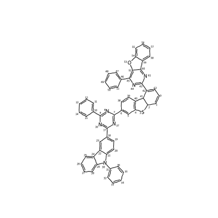 C1=CC2Sc3cc(-c4nc(-c5ccccc5)nc(-c5ccc6c(c5)c5ccccc5n6-c5ccccc5)n4)ccc3C2C(c2nc(-c3ccccc3)c3oc4ccccc4c3n2)=C1